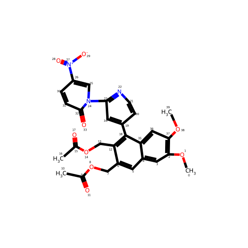 COc1cc2cc(COC(C)=O)c(COC(C)=O)c(-c3ccnc(-n4cc([N+](=O)[O-])ccc4=O)c3)c2cc1OC